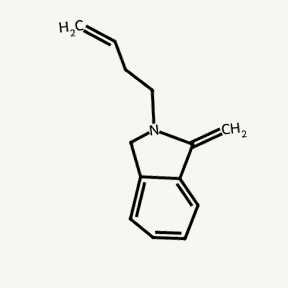 C=CCCN1Cc2ccccc2C1=C